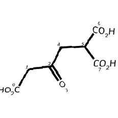 O=C(O)CC(=O)CC(C(=O)O)C(=O)O